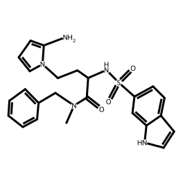 CN(Cc1ccccc1)C(=O)C(CCn1cccc1N)NS(=O)(=O)c1ccc2cc[nH]c2c1